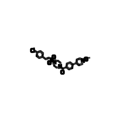 O=C(c1ccc(-c2cc[n+]([O-])cc2)cc1)N1CCN(S(=O)(=O)/C=C/c2ccc(Cl)cc2)CC1